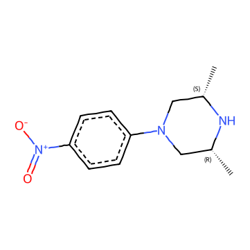 C[C@@H]1CN(c2ccc([N+](=O)[O-])cc2)C[C@H](C)N1